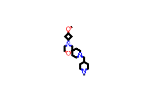 COC1CC(N2CCOC3(CCN(CC4CCN(C)CC4)CC3)C2)C1